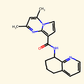 Cc1cc(C)n2ccc(C(=O)NC3CCCc4cccnc43)c2n1